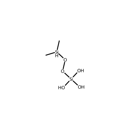 C[SiH](C)OO[Si](O)(O)O